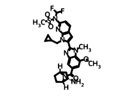 COc1cc(C(=O)N2[C@@H]3CC[C@H]2[C@@H](N)C3)cc2nc(-c3cc4ccc(N(C(F)F)S(C)(=O)=O)nc4n3CC3CC3)n(C)c12